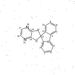 c1ccc2c(c1)-c1ccccc1C21Cc2nccnc2C1